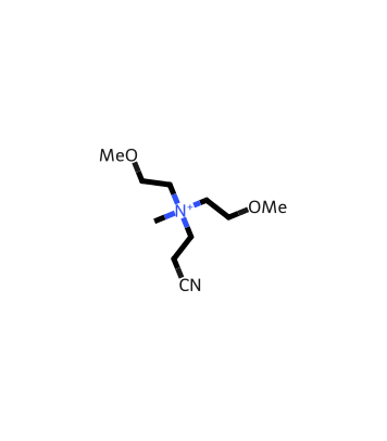 COCC[N+](C)(CCC#N)CCOC